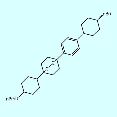 CCCCCC1CCC(C23CCC(c4ccc([C@H]5CC[C@H](CCCC)CC5)cc4)(CC2)CC3)CC1